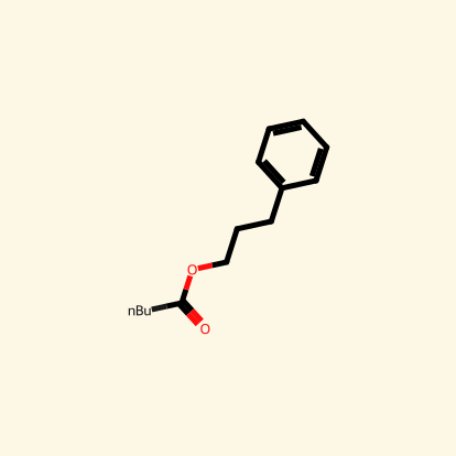 [CH2]CCCC(=O)OCCCc1ccccc1